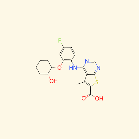 Cc1c(C(=O)O)sc2ncnc(Nc3ccc(F)cc3O[C@H]3CCCC[C@H]3O)c12